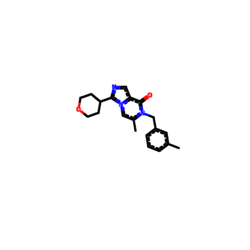 Cc1cccc(Cn2c(C)cn3c(C4CCOCC4)ncc3c2=O)c1